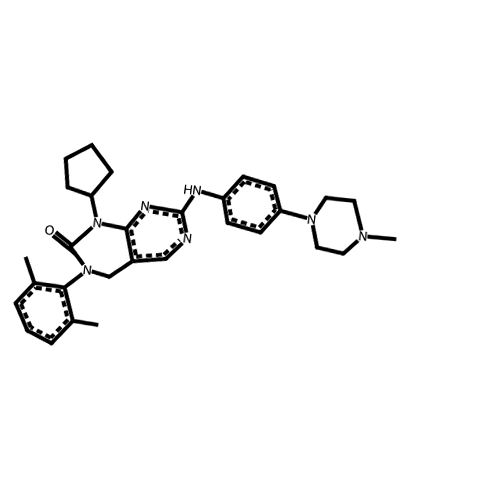 Cc1cccc(C)c1N1Cc2cnc(Nc3ccc(N4CCN(C)CC4)cc3)nc2N(C2CCCC2)C1=O